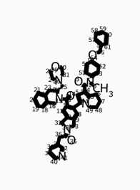 CN(C(=O)c1cc(-c2cc3c(cc2C(=O)N2Cc4ccccc4C[C@H]2CN2CCOCC2)CN(C(=O)Cc2cccnc2)C3)n2c1CCCC2)c1ccc(OCc2ccccc2)cc1